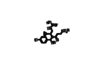 CCCC(c1ccc(Cl)cc1)N(C(=O)CCC(=O)O)C(CN[S+]([O-])CCC)C1CC1